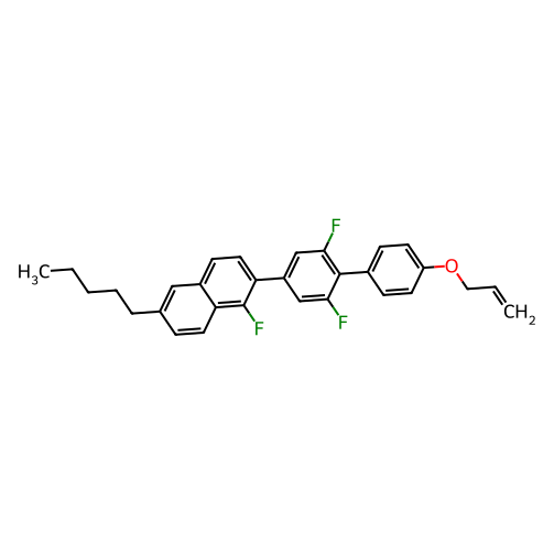 C=CCOc1ccc(-c2c(F)cc(-c3ccc4cc(CCCCC)ccc4c3F)cc2F)cc1